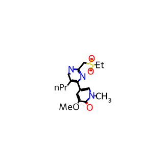 CCCc1cnc(CS(=O)(=O)CC)nc1-c1cc(OC)c(=O)n(C)c1